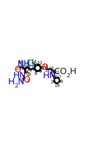 NC(=O)Nc1sc(-c2ccc(OCC[C@H](NC3CCCC3)C(=O)O)cc2Cl)cc1C(N)=O